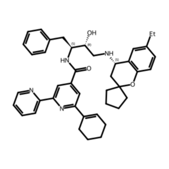 CCc1ccc2c(c1)[C@@H](NC[C@@H](O)[C@H](Cc1ccccc1)NC(=O)c1cc(C3=CCCCC3)nc(-c3ccccn3)c1)CC1(CCCC1)O2